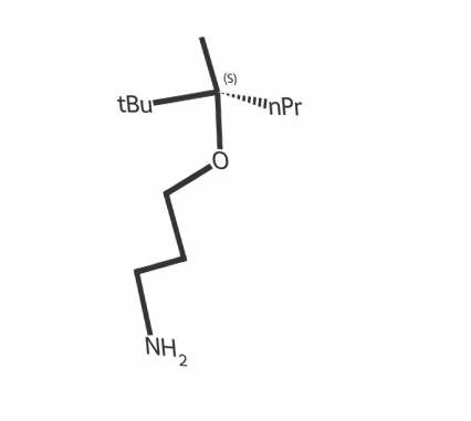 CCC[C@](C)(OCCCN)C(C)(C)C